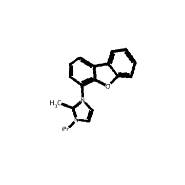 CC(C)N1C=CN(c2cccc3c2oc2ccccc23)C1C